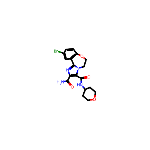 NC(=O)c1nc2n(c1C(=O)NC1CCOCC1)CCOc1ccc(Br)cc1-2